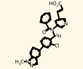 [2H]C(c1ccc(-c2ccc3c(cnn3C)c2)cc1Cl)N(C(=O)c1ccccc1)c1cncc(/C=C/C(=O)O)c1